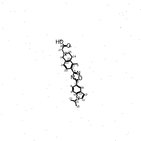 Cc1c(-c2noc(-c3ccc4c(ccn4C(C)C)c3)n2)ccc2c1CCN(CC(=O)O)C2